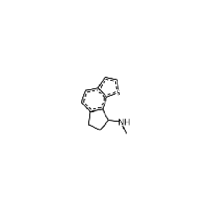 CNC1CCc2ccc3ccsc3c21